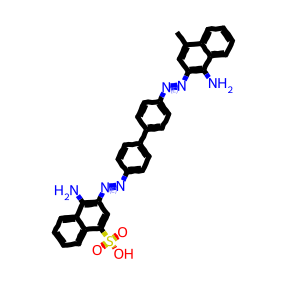 Cc1cc(/N=N/c2ccc(-c3ccc(/N=N/c4cc(S(=O)(=O)O)c5ccccc5c4N)cc3)cc2)c(N)c2ccccc12